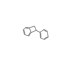 c1ccc(C2Cc3ccccc32)cc1